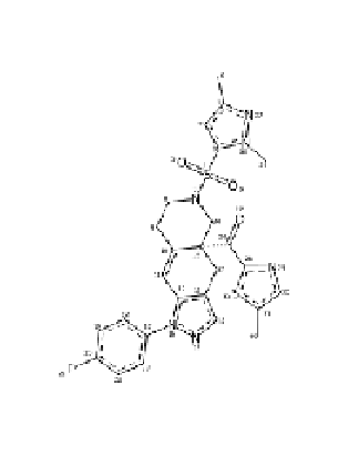 Cc1cc(S(=O)(=O)N2CCC3=Cc4c(cnn4-c4ccc(F)cc4)C[C@]3(C(=O)c3ncc(C)s3)C2)n(C)n1